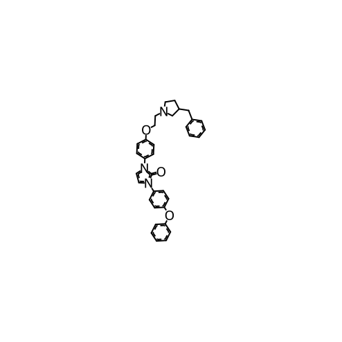 O=c1n(-c2ccc(OCCN3CCC(Cc4ccccc4)C3)cc2)ccn1-c1ccc(Oc2ccccc2)cc1